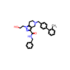 Cc1ccccc1-c1ccc(CN2CCc3c(c(C(=O)NCc4ccccc4)nn3CCO)C2)cc1